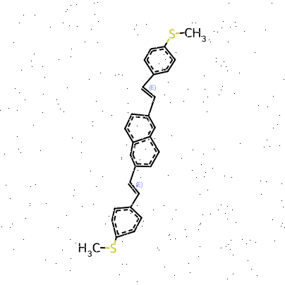 CSc1ccc(/C=C/c2ccc3cc(/C=C/c4ccc(SC)cc4)ccc3c2)cc1